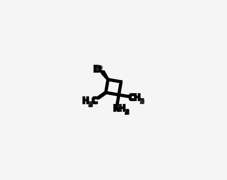 CC[C@H]1CC(C)(N)C1C